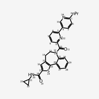 CCCc1ccc(-c2cccc(C(=O)N3CCc4cc(C(=O)NC5CC5)sc4-c4ccccc43)n2)cn1